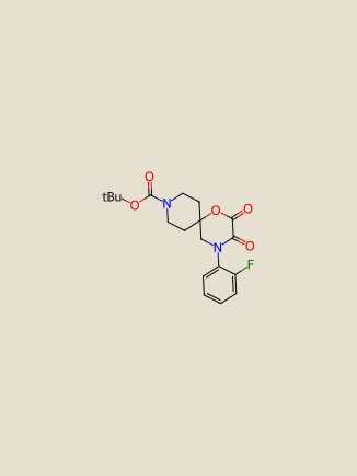 CC(C)(C)OC(=O)N1CCC2(CC1)CN(c1ccccc1F)C(=O)C(=O)O2